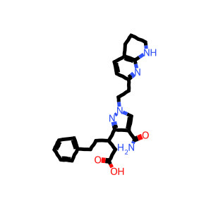 NC(=O)c1cn(CCc2ccc3c(n2)NCCC3)nc1C(CCc1ccccc1)CC(=O)O